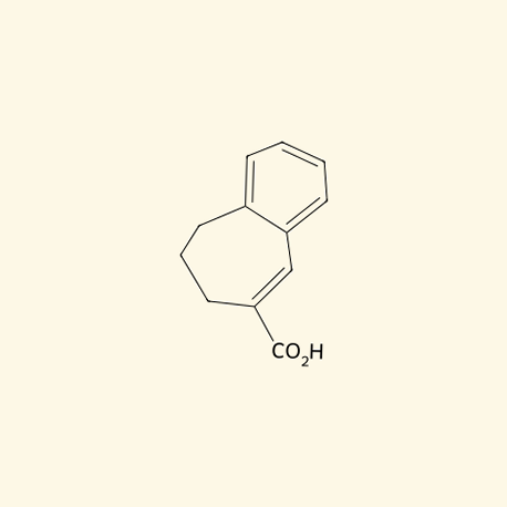 O=C(O)C1=Cc2ccccc2CCC1